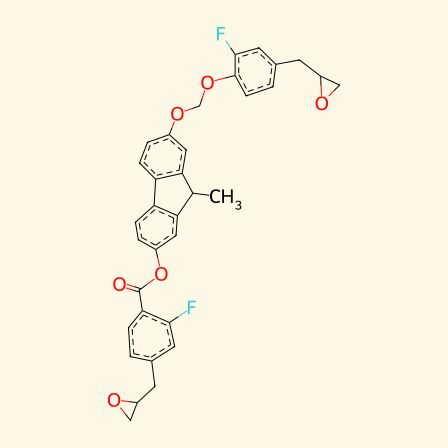 CC1c2cc(OCOc3ccc(CC4CO4)cc3F)ccc2-c2ccc(OC(=O)c3ccc(CC4CO4)cc3F)cc21